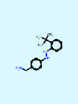 CC(C)(C)c1ccccc1NNc1ccc(CN)cc1